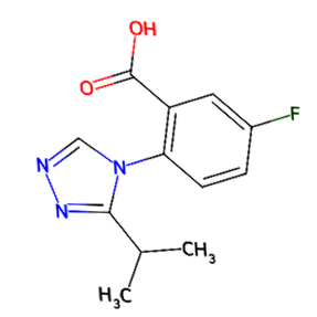 CC(C)c1nncn1-c1ccc(F)cc1C(=O)O